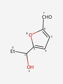 CCC(O)c1ccc(C=O)o1